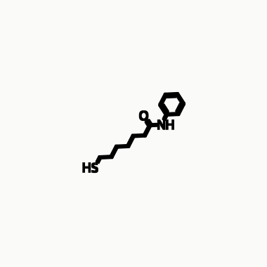 O=C(CCCCCCS)Nc1ccccc1